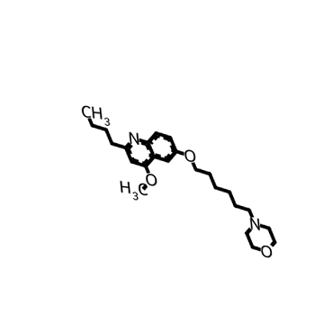 CCCCc1cc(OC)c2cc(OCCCCCCN3CCOCC3)ccc2n1